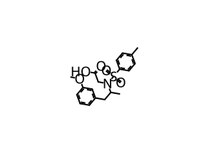 COc1cccc(CC(C)N(CC(=O)O)S(=O)(=O)c2ccc(C)cc2)c1